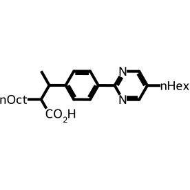 CCCCCCCCC(C(=O)O)C(C)c1ccc(-c2ncc(CCCCCC)cn2)cc1